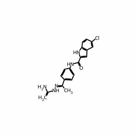 C=C(N)N/N=C(\C)c1ccc(NC(=O)c2cc3cc(Cl)ccc3[nH]2)cc1